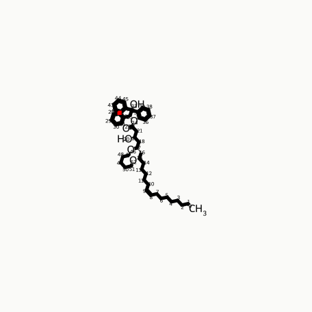 CCCCCCCC/C=C\CCCCCCC[C@@H](C[C@H](O)CC(=O)OC(c1ccccc1)C(O)(c1ccccc1)c1ccccc1)O[C@@H]1CCCCO1